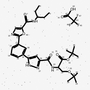 CCC(CC)NC(=O)c1cnc(-c2cccc(-c3cc(C(=O)NC(COC(C)(C)C)C(=O)OC(C)(C)C)n[nH]3)c2)o1.O=C(O)C(F)(F)F